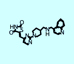 O=C1NC(=O)C(=Cc2ccnc(N3CCC(CNCc4ccnc5ccccc45)CC3)n2)S1